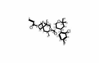 C=CC(=O)N1CC2(C[C@H](C)N(C(=O)[C@@H]3COC(C)(C)C[C@H]3c3ccc(F)cc3Cl)CC2(F)F)C1